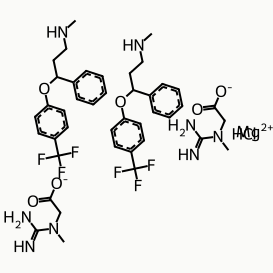 CN(CC(=O)[O-])C(=N)N.CN(CC(=O)[O-])C(=N)N.CNCCC(Oc1ccc(C(F)(F)F)cc1)c1ccccc1.CNCCC(Oc1ccc(C(F)(F)F)cc1)c1ccccc1.Cl.[Mg+2]